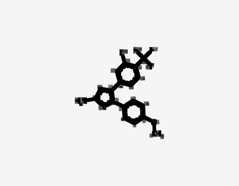 COc1ccc(-n2nc(N)cc2-c2ccc(C(F)(F)F)c(F)c2)cc1